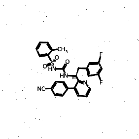 Cc1ccccc1S(=O)(=O)NC(=O)N[C@@H](Cc1cc(F)cc(F)c1)c1ncccc1-c1ccc(C#N)cc1